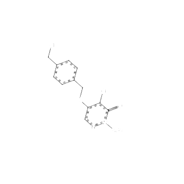 CCCCn1ncc(OCc2ccc(CCl)cc2)c(Cl)c1=O